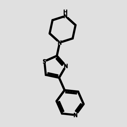 c1cc(-c2csc(N3CCNCC3)n2)ccn1